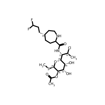 CS[C@H]1O[C@H]([C@H](NC(=O)C2CC[C@H](CCC(F)F)CCN2)[C@H](C)Cl)[C@H](O)[C@H](O)[C@H]1OC(C)=O